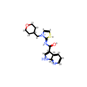 O=C(/N=c1\sccn1CC1CCOCC1)c1c[nH]c2ncccc12